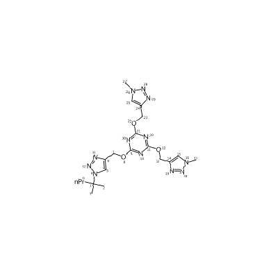 CCCC(C)(C)n1cc(COc2nc(OCc3cn(C)nn3)nc(OCc3cn(C)nn3)n2)nn1